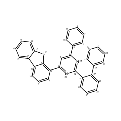 c1ccc(-c2cc(-c3cccc4c3sc3ccccc34)nc(-c3ccccc3-c3cccnc3)n2)cc1